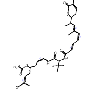 CC1=CCC(C(C)/C=C(C)/C=C\C=C\C(=O)NC(C(=O)N/C=C\CC(C/C=C(\C)Cl)OC(N)=O)C(C)(C)C)OC1=O